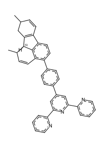 CC1C=CC2=C(C1)[C@H]1c3c2ccc(-c2ccc(-c4cc(-c5ccccn5)nc(-c5ccccn5)c4)cc2)c3C=CC1C